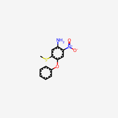 CSc1cc(N)c([N+](=O)[O-])cc1Oc1ccccc1